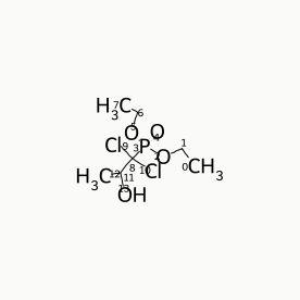 CCOP(=O)(OCC)C(Cl)(Cl)C(C)O